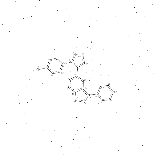 Clc1ccc(-n2nccc2-c2ccc3ncn(-c4ccncc4)c3c2)cc1